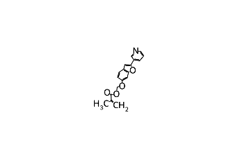 C=C(C)C(=O)OCOc1ccc2cc(-c3cccnc3)oc2c1